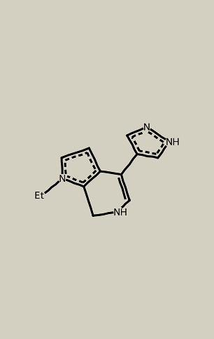 CCn1ccc2c1CNC=C2c1cn[nH]c1